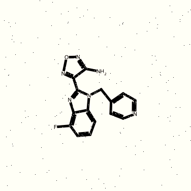 Nc1nonc1-c1nc2c(F)cccc2n1Cc1ccncc1